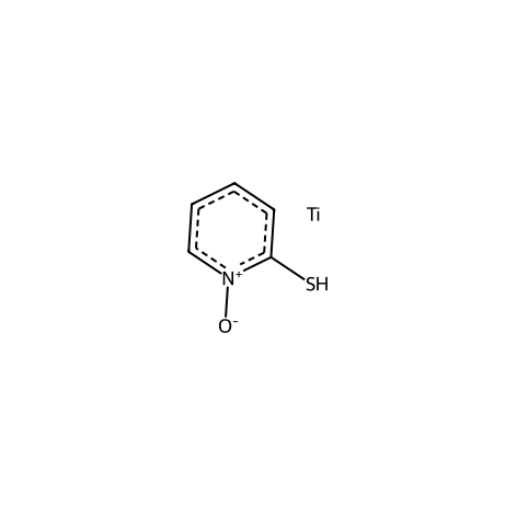 [O-][n+]1ccccc1S.[Ti]